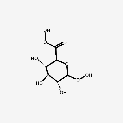 O=C(OO)[C@H]1OC(OO)[C@H](O)[C@@H](O)[C@@H]1O